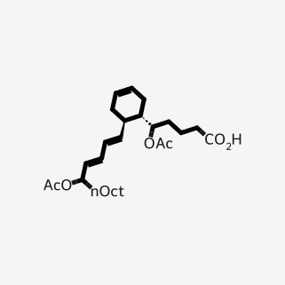 CCCCCCCCC(/C=C/C=C/[C@H]1CC=CC[C@@H]1C(CCCC(=O)O)OC(C)=O)OC(C)=O